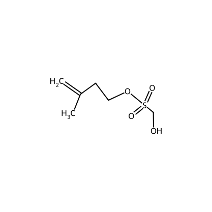 C=C(C)CCOS(=O)(=O)CO